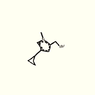 Cn1cc(C2CC2)cc1CC(C)(C)C